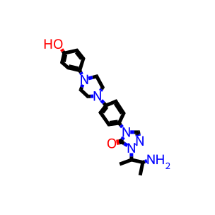 CC(N)C(C)n1ncn(-c2ccc(N3CCN(c4ccc(O)cc4)CC3)cc2)c1=O